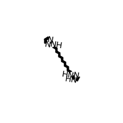 c1cnc(NCCCCCCCCCCCCNC2=NCCN2)nc1